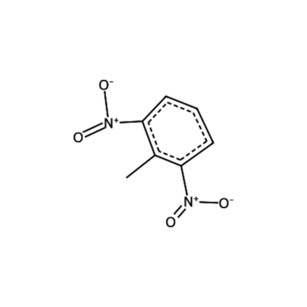 Cc1c([N+](=O)[O-])cccc1[N+](=O)[O-]